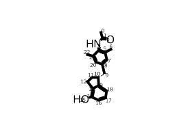 CC(=O)Nc1c(C)cc(C[C@H]2CCc3c(O)cccc32)cc1C